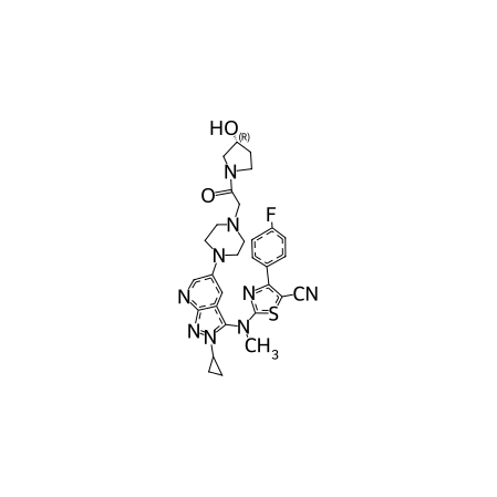 CN(c1nc(-c2ccc(F)cc2)c(C#N)s1)c1c2cc(N3CCN(CC(=O)N4CC[C@@H](O)C4)CC3)cnc2nn1C1CC1